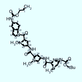 C=CCOC(=O)Nc1ccc2c(ccn2C(=O)c2cc(NC(=O)c3cc(NC(=O)c4nc(NC(=O)OC(C)(C)C)cn4C)cn3C)cn2C)c1